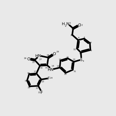 NC(=O)Cc1cccc(Sc2ccc(NC3=C(c4cccc(F)c4F)C(=O)NC3=O)cc2)c1